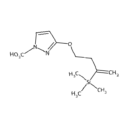 C=C(CCOc1ccn(C(=O)O)n1)[Si](C)(C)C